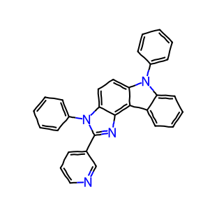 c1ccc(-n2c(-c3cccnc3)nc3c4c5ccccc5n(-c5ccccc5)c4ccc32)cc1